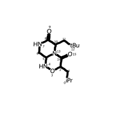 CC(C)CC1ONC2CNC(=O)C(CC(C)(C)C)N2C1=O